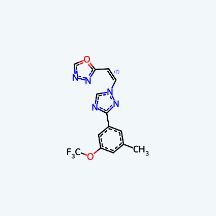 Cc1cc(OC(F)(F)F)cc(-c2ncn(/C=C\c3nnco3)n2)c1